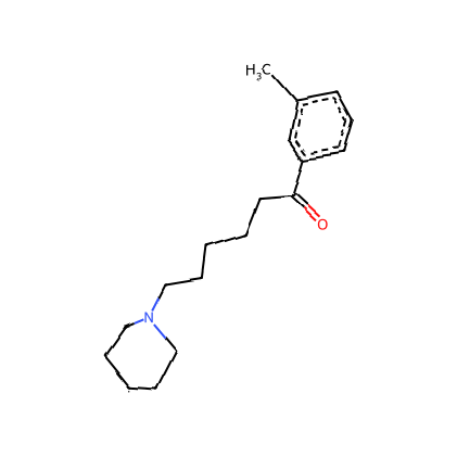 Cc1cccc(C(=O)CCCCCN2CC[CH]CC2)c1